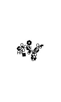 CCOC(=O)N1CCN(C(=O)[C@H](CC2COC(C)(C)O2)NC(=O)c2cc(OCC(=O)N3CCC[C@H]3C(=O)NC3CCC3)n(-c3ccccc3)n2)CC1